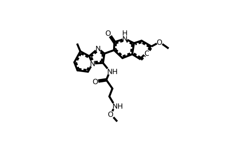 CONCCC(=O)Nc1c(-c2cc3ccc(OC)cc3[nH]c2=O)nc2c(C)cccn12